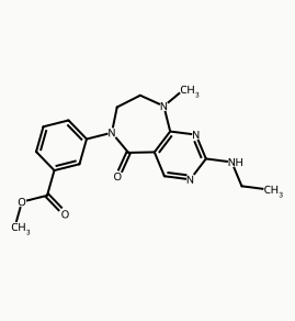 CCNc1ncc2c(n1)N(C)CCN(c1cccc(C(=O)OC)c1)C2=O